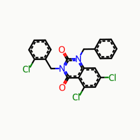 O=c1c2c(Cl)cc(Cl)cc2n(Cc2ccccc2)c(=O)n1Cc1ccccc1Cl